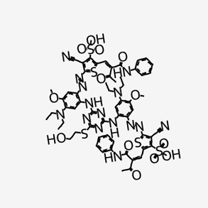 CCN(CC)c1cc(Nc2nc(Nc3cc(N(CC)CC)c(OC)cc3/N=N/c3sc(/C=C(\C(C)=O)C(=O)Nc4ccccc4)c(S(=O)(=O)O)c3C#N)nc(SCCO)n2)c(/N=N/c2sc(/C=C(/C(C)=O)C(=O)Nc3ccccc3)c(S(=O)(=O)O)c2C#N)cc1OC